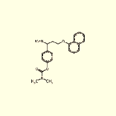 CNC(CCOc1cccc2ccccc12)c1ccc(OC(=O)N(C)C)cc1